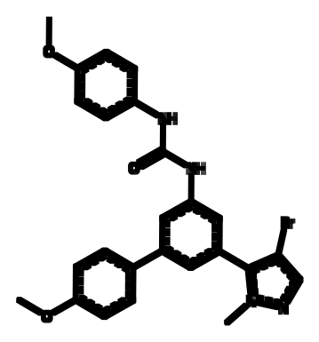 COc1ccc(NC(=O)Nc2cc(-c3ccc(OC)cc3)cc(-c3c(Br)cnn3C)c2)cc1